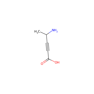 CC(N)C#CC(=O)O